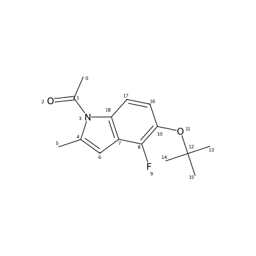 CC(=O)n1c(C)cc2c(F)c(OC(C)(C)C)ccc21